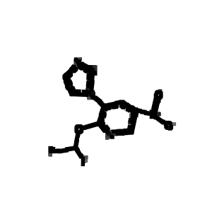 O=[N+]([O-])c1cnc(OC(F)F)c(-n2ccnn2)c1